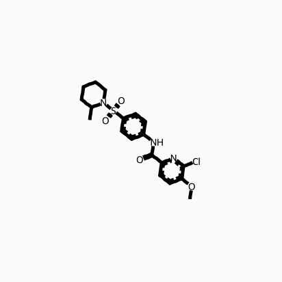 COc1ccc(C(=O)Nc2ccc(S(=O)(=O)N3CCCCC3C)cc2)nc1Cl